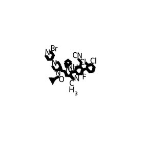 Cc1nc2c(F)c(-c3cccc(Cl)c3Cl)c(CCC#N)cc2c2c1cc(C1C3CC(CN(c4ccnc(Br)c4)C3)N1C(=O)C1CC1)n2C1C2CNC1C2